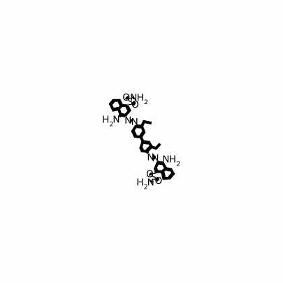 CCc1cc(-c2ccc(/N=N/c3cc(S(N)(=O)=O)c4ccccc4c3N)c(CC)c2)ccc1/N=N/c1cc(S(N)(=O)=O)c2ccccc2c1N